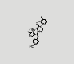 CCCC[C@H]1C(=O)N(c2cccc(C)c2C)CCN1C(Cc1ccc(C#N)cc1)c1cnc(C)[nH]1